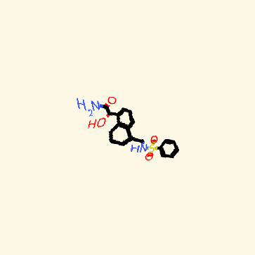 NC(=O)C(O)c1cccc2c1CCCC2CNS(=O)(=O)c1ccccc1